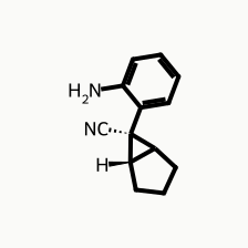 N#C[C@]1(c2ccccc2N)C2CCC[C@@H]21